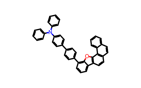 c1ccc(N(c2ccccc2)c2ccc(-c3ccc(-c4cccc5c4oc4c5ccc5ccc6ccccc6c54)cc3)cc2)cc1